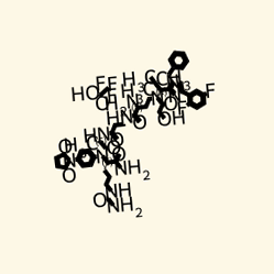 C[C@H](NC(=O)CCNC(=O)[C@@H](N)CCN(C(=O)CO)[C@@H](c1nc(-c2cc(F)ccc2F)cn1Cc1ccccc1)C(C)(C)C)C(=O)N(c1ccc(N2C(=O)C=CC2=O)cc1)[C@@H](CCCNC(N)=O)C(N)=O.O=C(O)C(F)(F)F